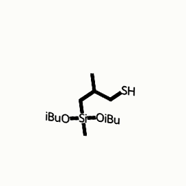 CC(C)CO[Si](C)(CC(C)CS)OCC(C)C